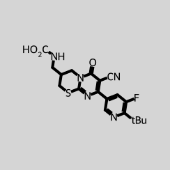 CC(C)(C)c1ncc(-c2nc3n(c(=O)c2C#N)CC(CNC(=O)O)CS3)cc1F